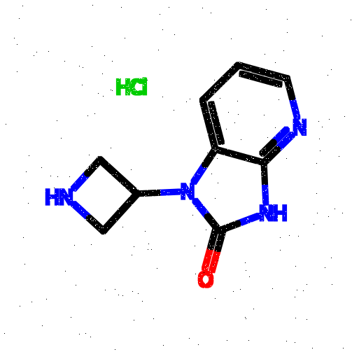 Cl.O=c1[nH]c2ncccc2n1C1CNC1